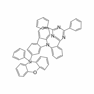 c1ccc(-c2nc(-c3ccccc3)nc(-c3ccccc3-n3c4ccccc4c4ccc([Si]5(c6ccccc6)c6ccccc6Oc6ccccc65)cc43)n2)cc1